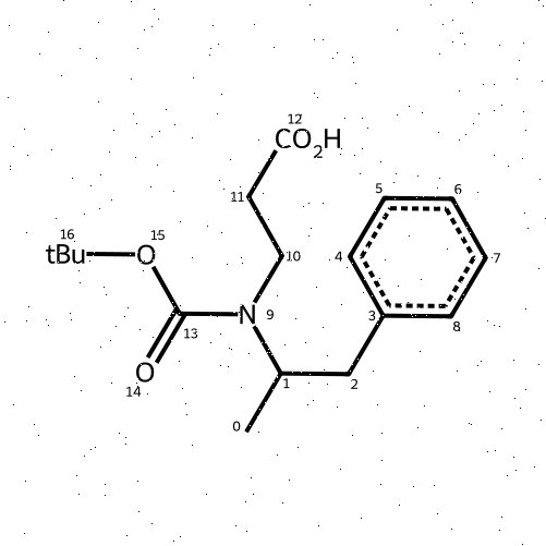 CC(Cc1ccccc1)N(CCC(=O)O)C(=O)OC(C)(C)C